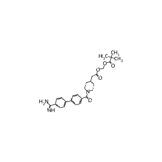 CC(C)(C)C(=O)OCOC(=O)CC1CCN(C(=O)c2ccc(-c3ccc(C(=N)N)cc3)cc2)CC1